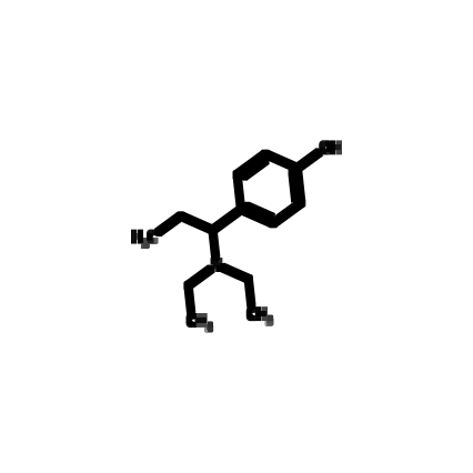 CCC(c1ccc(O)cc1)N(CC)CC